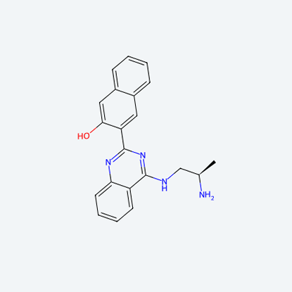 C[C@@H](N)CNc1nc(-c2cc3ccccc3cc2O)nc2ccccc12